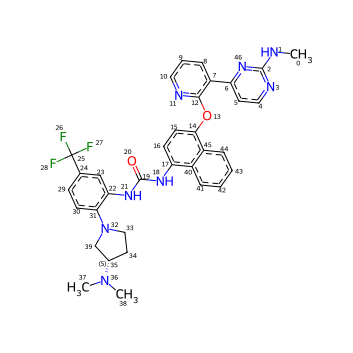 CNc1nccc(-c2cccnc2Oc2ccc(NC(=O)Nc3cc(C(F)(F)F)ccc3N3CC[C@H](N(C)C)C3)c3ccccc23)n1